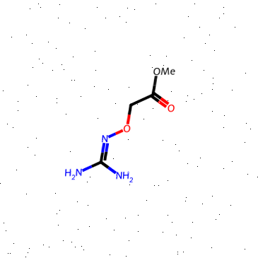 COC(=O)CON=C(N)N